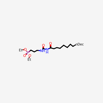 CCCCCCCCCCCCCCCCCC(=O)NC(=O)NCCCP(=O)(OCC)OCC